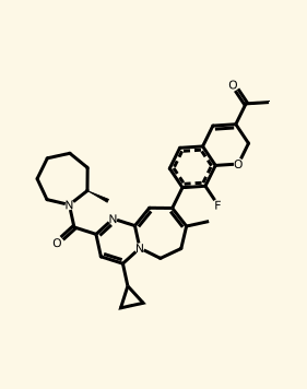 CC(=O)C1=Cc2ccc(C3=C(C)CCN4C(=C3)N=C(C(=O)N3CCCCC[C@H]3C)C=C4C3CC3)c(F)c2OC1